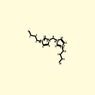 CCCC[n+]1ccn(Cn2cc[n+](CCCC)c2)c1